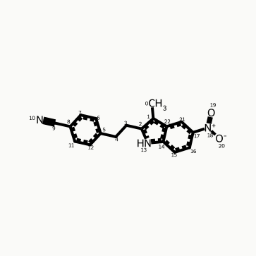 Cc1c(CCc2ccc(C#N)cc2)[nH]c2ccc([N+](=O)[O-])cc12